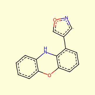 [c]1nocc1-c1cccc2c1Nc1ccccc1O2